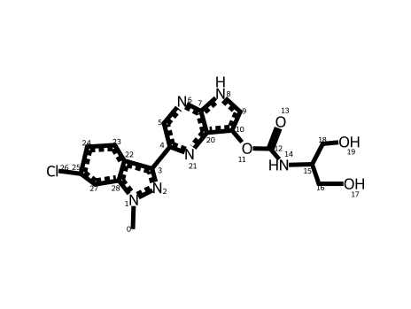 Cn1nc(-c2cnc3[nH]cc(OC(=O)NC(CO)CO)c3n2)c2ccc(Cl)cc21